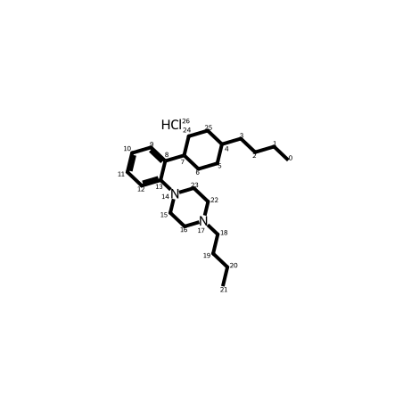 CCCCC1CCC(c2ccccc2N2CCN(CCCC)CC2)CC1.Cl